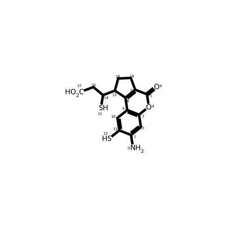 Nc1cc2oc(=O)c3c(c2cc1S)C(C(S)CC(=O)O)CC3